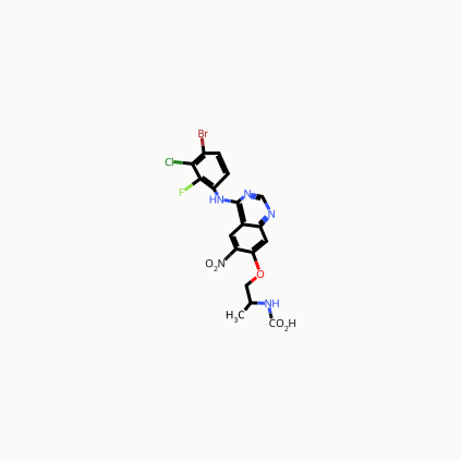 CC(COc1cc2ncnc(Nc3ccc(Br)c(Cl)c3F)c2cc1[N+](=O)[O-])NC(=O)O